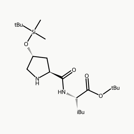 CC[C@@H](C)[C@H](NC(=O)[C@@H]1C[C@@H](O[Si](C)(C)C(C)(C)C)CN1)C(=O)OC(C)(C)C